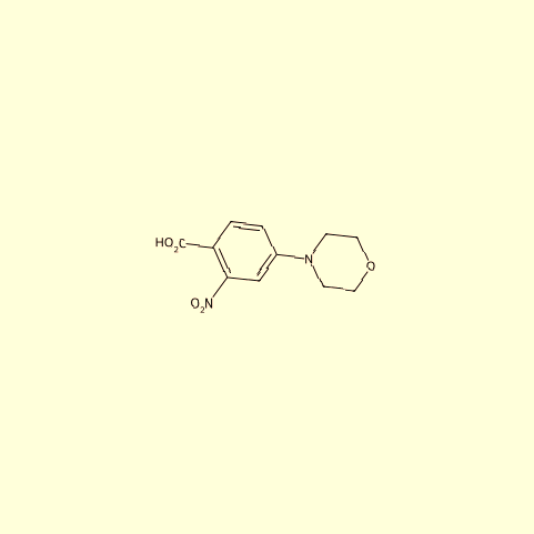 O=C(O)c1ccc(N2CCOCC2)cc1[N+](=O)[O-]